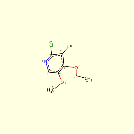 CCOc1c(OC)cnc(Cl)c1F